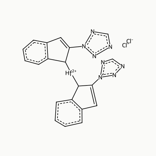 C1=C(n2ncnn2)[CH]([Hf+2][CH]2C(n3ncnn3)=Cc3ccccc32)c2ccccc21.[Cl-].[Cl-]